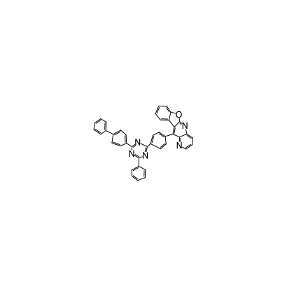 c1ccc(-c2ccc(-c3nc(-c4ccccc4)nc(-c4ccc(-c5c6ncccc6nc6oc7ccccc7c56)cc4)n3)cc2)cc1